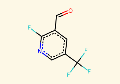 O=Cc1cc(C(F)(F)F)cnc1F